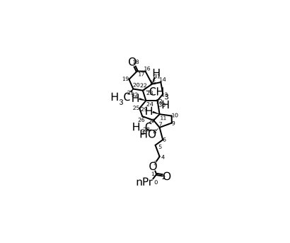 CCCC(=O)OCCC[C@]1(O)CC[C@H]2[C@@H]3CC[C@H]4CC(=O)C[C@H](C)[C@]4(C)[C@H]3CC[C@@]21C